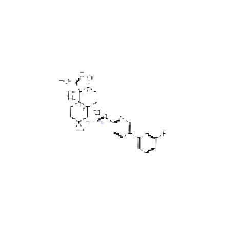 C[C@@]12CC[C@@H](O)[C@@](C)(C(=O)O)[C@H]1CCC1(CO1)[C@H]2/C=C/c1ccc(-c2cccc(F)c2)cn1